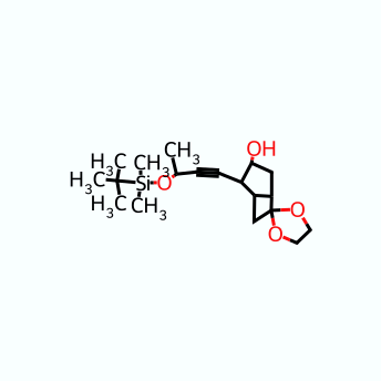 CC(C#CC1C(O)CC2C1CC21OCCO1)O[Si](C)(C)C(C)(C)C